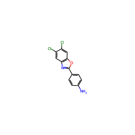 Nc1ccc(-c2nc3cc(Cl)c(Cl)cc3o2)cc1